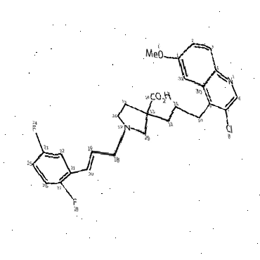 COc1ccc2ncc(Cl)c(CCCC3(C(=O)O)CCN(CC=Cc4cc(F)ccc4F)C3)c2c1